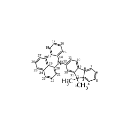 CC1(C)c2ccccc2-c2ccc(N(c3ccccc3)c3cccc4ccccc34)cc21